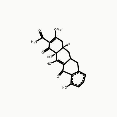 COC1=C(C(N)=O)C(=O)[C@@]2(O)C(O)=C3C(=O)c4c(O)cccc4CC3C[C@H]2C1